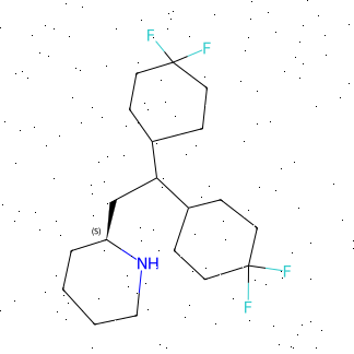 FC1(F)CCC(C(C[C@@H]2CCCCN2)C2CCC(F)(F)CC2)CC1